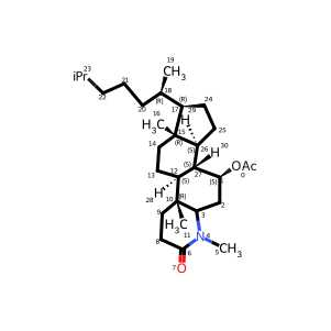 CC(=O)O[C@H]1CC2N(C)C(=O)CC[C@]2(C)[C@H]2CC[C@]3(C)[C@@H]([C@H](C)CCCC(C)C)CC[C@H]3[C@H]12